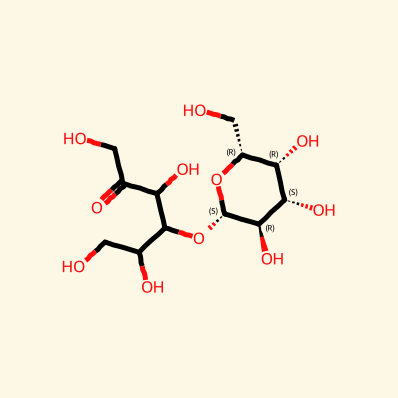 O=C(CO)C(O)C(O[C@@H]1O[C@H](CO)[C@H](O)[C@H](O)[C@H]1O)C(O)CO